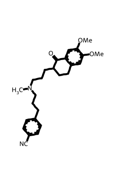 COc1cc2c(cc1OC)C(=O)C(CCCN(C)CCCc1ccc(C#N)cc1)CC2